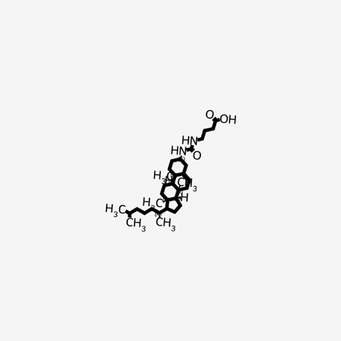 CC(C)CCC[C@@H](C)C1CC[C@H]2[C@]3(C)CC=C4C[C@@H](NC(=O)NCCCC(=O)O)CC[C@]4(C)[C@H]3CC[C@]12C